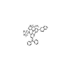 CC1(C)c2cccc3c2-n2c4c1cc(-c1ccc5ccccc5c1)cc4c1cc(N(c4ccccc4)c4ccccc4)cc(c12)C3(C)C